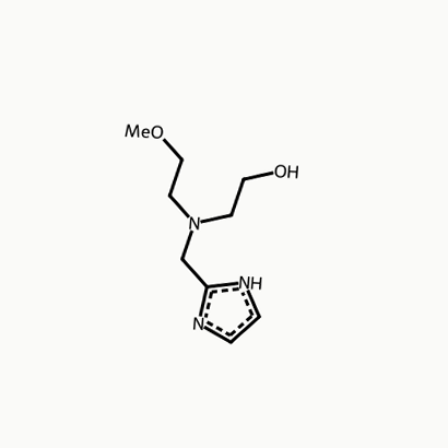 COCCN(CCO)Cc1ncc[nH]1